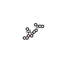 c1ccc2cc3c(cc2c1)c1ccccc1n3-c1ccc2cc3c4ccccc4n(-c4nc5ccccc5nc4-c4ccc5ccc6ccccc6c5c4)c3cc2c1